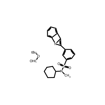 CC(C)(C)OC=O.CN(C1CCCCC1)S(=O)(=O)c1cccc(-c2c3c4ccccc4n2-3)c1